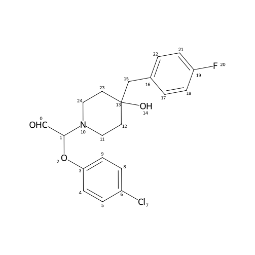 O=CC(Oc1ccc(Cl)cc1)N1CCC(O)(Cc2ccc(F)cc2)CC1